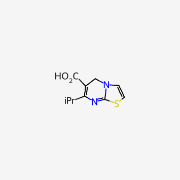 CC(C)C1=C(C(=O)O)CN2C=CSC2=N1